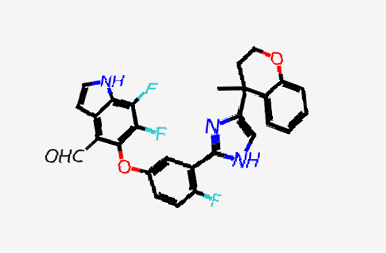 CC1(c2c[nH]c(-c3cc(Oc4c(F)c(F)c5[nH]ccc5c4C=O)ccc3F)n2)CCOc2ccccc21